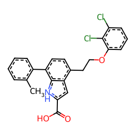 Cc1ccccc1-c1ccc(CCOc2cccc(Cl)c2Cl)c2cc(C(=O)O)[nH]c12